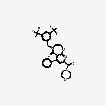 O=C1c2c(-c3ccccc3)cc(C(=O)N3CCOCC3)nc2OC=CN1Cc1cc(C(F)(F)F)cc(C(F)(F)F)c1